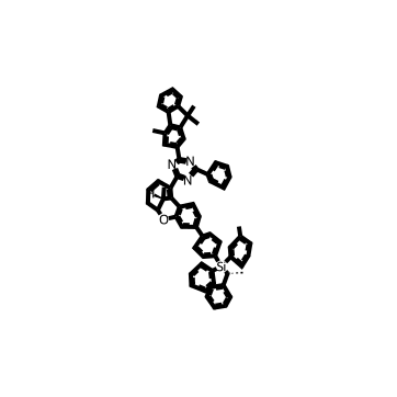 Cc1cccc([Si](c2ccccc2)(c2ccc(-c3ccc4c(c3)OC3CC=CC(c5nc(-c6ccccc6)nc(-c6cc(C)c7c(c6)C(C)(C)c6ccccc6-7)n5)=C4[C@H]3C)cc2)[C@H](C)c2ccccc2)c1